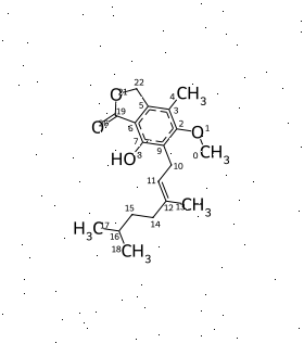 COc1c(C)c2c(c(O)c1C/C=C(\C)CCC(C)C)C(=O)OC2